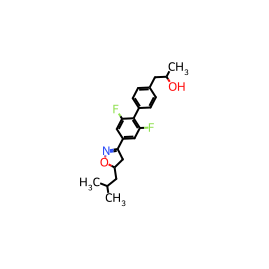 CC(C)CC1CC(c2cc(F)c(-c3ccc(CC(C)O)cc3)c(F)c2)=NO1